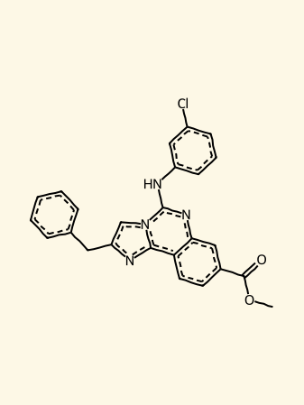 COC(=O)c1ccc2c(c1)nc(Nc1cccc(Cl)c1)n1cc(Cc3ccccc3)nc21